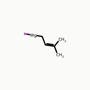 CC(C)=C[CH2][Mg][I]